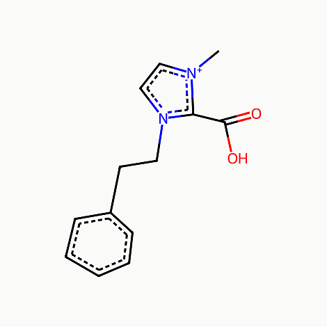 C[n+]1ccn(CCc2ccccc2)c1C(=O)O